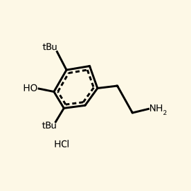 CC(C)(C)c1cc(CCN)cc(C(C)(C)C)c1O.Cl